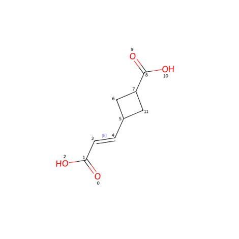 O=C(O)/C=C/C1CC(C(=O)O)C1